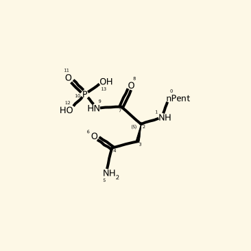 CCCCCN[C@@H](CC(N)=O)C(=O)NP(=O)(O)O